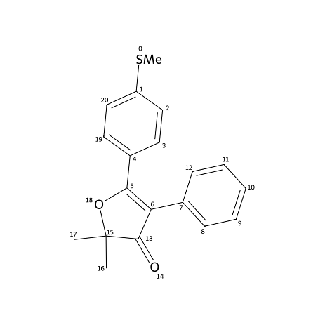 CSc1ccc(C2=C(c3ccccc3)C(=O)C(C)(C)O2)cc1